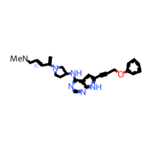 C=C(/C=C/CNC)N1CCC(Nc2ncnc3[nH]c(C#CCOc4ccccc4)cc23)C1